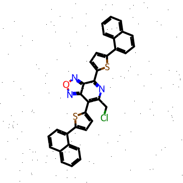 ClCc1nc(-c2ccc(-c3cccc4ccccc34)s2)c2nonc2c1-c1ccc(-c2cccc3ccccc23)s1